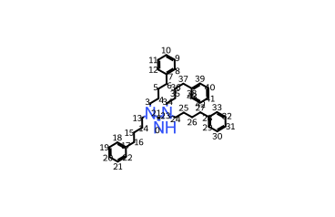 N=C(N(CCCCc1ccccc1)CCCCc1ccccc1)N(CCCCc1ccccc1)CCCCc1ccccc1